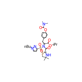 CCCCn1ccc(S(=O)(=O)N(C(=O)[C@H]2NC(C)(C)CS2)[C@@H](Cc2ccc(OC(=O)N(C)C)cc2)C(=O)OC(C)C)n1